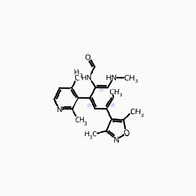 C\C=C(/C=C(\C(=C\NC)NC=O)c1c(C)ccnc1C)c1c(C)noc1C